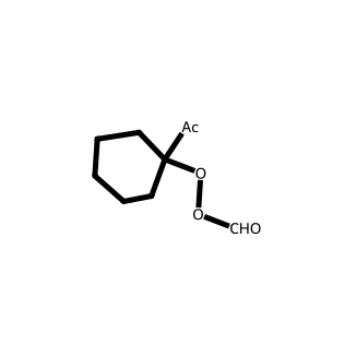 CC(=O)C1(OOC=O)CCCCC1